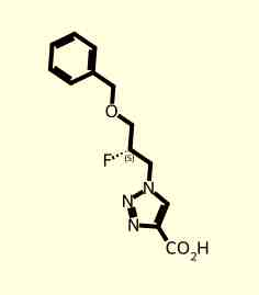 O=C(O)c1cn(C[C@H](F)COCc2ccccc2)nn1